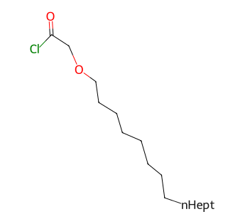 CCCCCCCCCCCCCCCOCC(=O)Cl